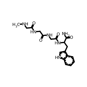 CNCC(=O)NCC(=O)NCC(=O)NC(Cc1c[nH]c2ccccc12)C(N)=O